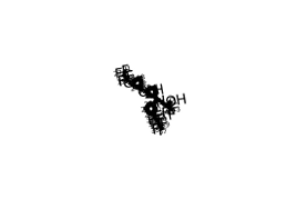 OC(CNC(c1cccc(Oc2cccc(OC(F)(F)C(F)F)c2)c1)c1cccc(C(F)(F)C(F)(F)C(F)(F)F)c1)C(F)(F)F